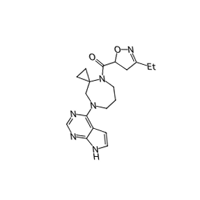 CCC1=NOC(C(=O)N2CCCN(c3ncnc4[nH]ccc34)CC23CC3)C1